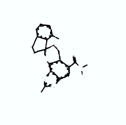 Cc1nc2c3c(c(C(=O)N(C)C)cc2[nH]1)CCC1(CCc2cccc(C)c21)O3